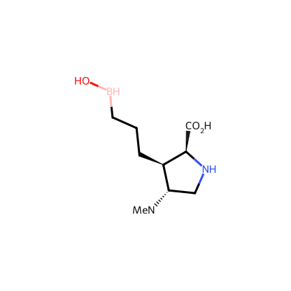 CN[C@H]1CN[C@H](C(=O)O)[C@@H]1CCCBO